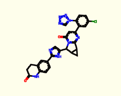 O=C1CCc2cc(-c3ncc(C4C5CC5c5nc(-c6cc(Cl)ccc6-n6cnnn6)cc(=O)n54)[nH]3)ccc2N1